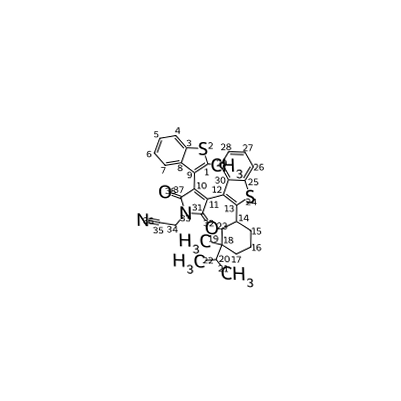 Cc1sc2ccccc2c1C1=C(c2c(C3CCCC(C)(C(C)C)C3)sc3ccccc23)C(=O)N(CC#N)C1=O